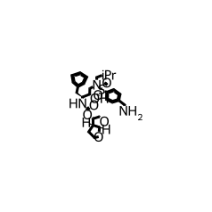 CC(C)CN(C[C@@H](O)[C@H](Cc1ccccc1)NC(=O)OC1CO[C@H]2OCC[C@@H]12)S(=O)(=O)c1ccc(CN)cc1